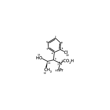 CCCN(C(=O)O)C(c1ccccc1Cl)[C@@H](C)O